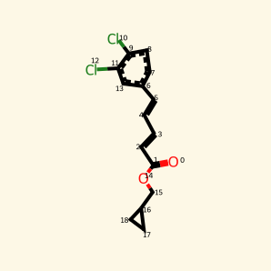 O=C(C=CC=Cc1ccc(Cl)c(Cl)c1)OCC1CC1